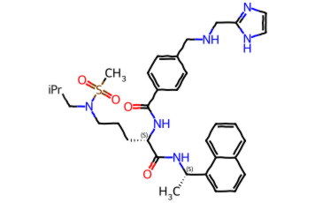 CC(C)CN(CCC[C@H](NC(=O)c1ccc(CNCc2ncc[nH]2)cc1)C(=O)N[C@@H](C)c1cccc2ccccc12)S(C)(=O)=O